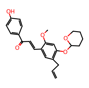 C=CCc1cc(/C=C/C(=O)c2ccc(O)cc2)c(OC)cc1OC1CCCCO1